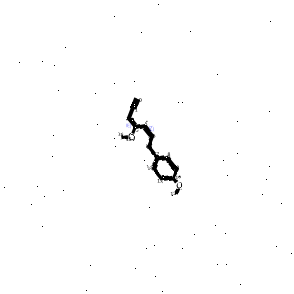 C#C/C=C(\C=C/CC1C=CC(OC)=CC1)OC